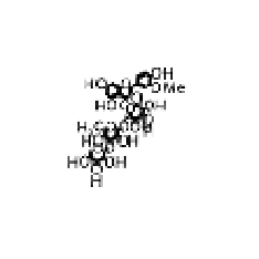 COc1cc(-c2oc3cc(O)cc(O)c3c(=O)c2O[C@@H]2O[C@H](CO[C@@H]3O[C@@H](C)[C@H](O)[C@@H](O[C@@H]4OC[C@@H](O)[C@H](O)[C@H]4O)[C@H]3O)[C@@H](O)[C@H](O)[C@H]2O)ccc1O